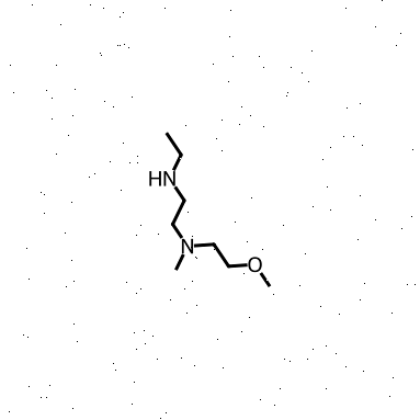 CCNCCN(C)CCOC